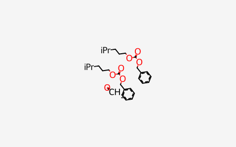 C=O.CC(C)CCCOC(=O)OCc1ccccc1.CC(C)CCCOC(=O)OCc1ccccc1